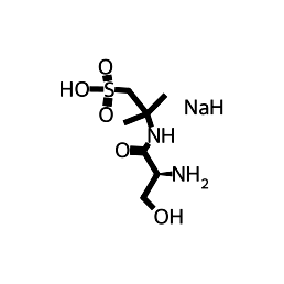 CC(C)(CS(=O)(=O)O)NC(=O)[C@@H](N)CO.[NaH]